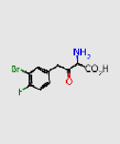 NC(C(=O)O)C(=O)Cc1ccc(F)c(Br)c1